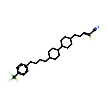 N#CC(F)=CCCC1CCC(C2CCC(CCCCc3ccc(C(F)(F)F)cc3)CC2)CC1